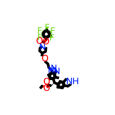 CCOC(=O)C[C@@H](c1ccc2c(c1)CNCC2)c1ccc2c(nnn2CCCOCC2CCN(C(=O)Oc3c(F)c(F)c(F)c(F)c3F)CC2)c1C